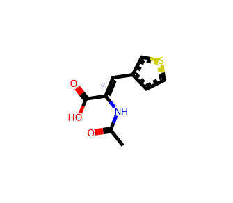 CC(=O)N/C(=C\c1ccsc1)C(=O)O